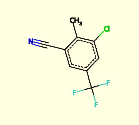 Cc1c(Cl)cc(C(F)(F)F)cc1C#N